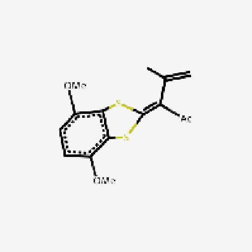 C=C(C)C(C(C)=O)=C1Sc2c(OC)ccc(OC)c2S1